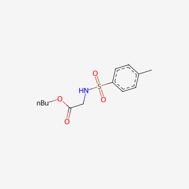 CCCCOC(=O)CNS(=O)(=O)c1ccc(C)cc1